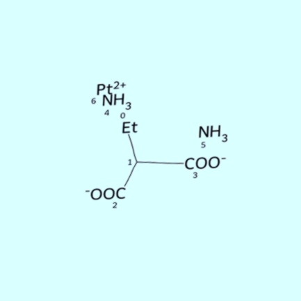 CCC(C(=O)[O-])C(=O)[O-].N.N.[Pt+2]